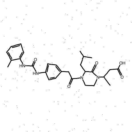 Cc1ccccc1NC(=O)Nc1ccc(CC(=O)N2CCN(C(C)CC(=O)O)C(=O)C2CC(C)C)cc1